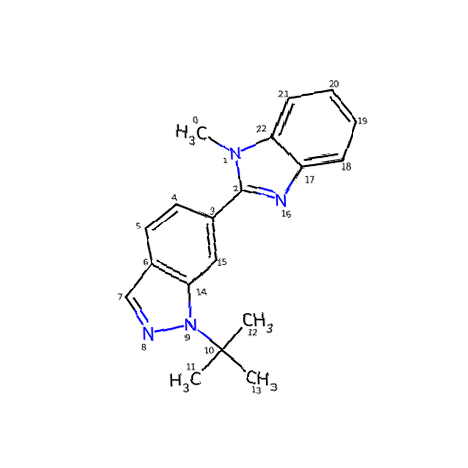 Cn1c(-c2ccc3cnn(C(C)(C)C)c3c2)nc2ccccc21